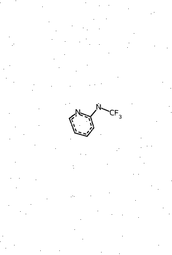 FC(F)(F)[N]c1ccccn1